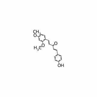 COc1ccc(C=CC(=O)C=Cc2ccc(O)cc2)c(OC)c1